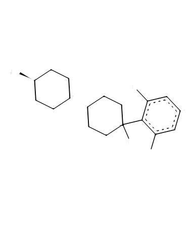 CCC[C@H]1CC[C@H](C2CCC(O)(c3c(F)cccc3F)CC2)CC1